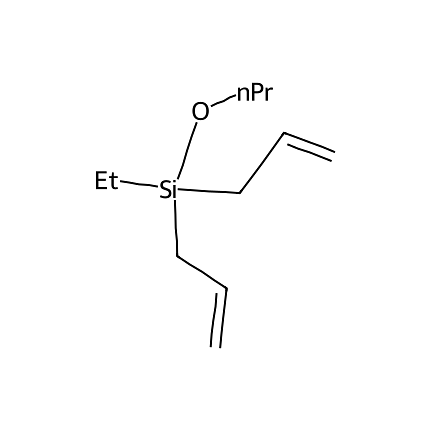 C=CC[Si](CC)(CC=C)OCCC